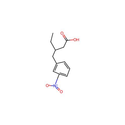 CCC(CC(=O)O)Cc1cccc([N+](=O)[O-])c1